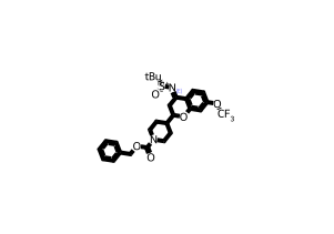 CC(C)(C)[S@+]([O-])/N=C1\CC(C2CCN(C(=O)OCc3ccccc3)CC2)Oc2cc(OC(F)(F)F)ccc21